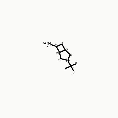 CC(C)(I)N1CC2CC(N)C2C1